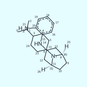 CC(C)C1CCC(N2[C@@H]3CC[C@H]2CC(Nc2ccccc2N)C3)CC1